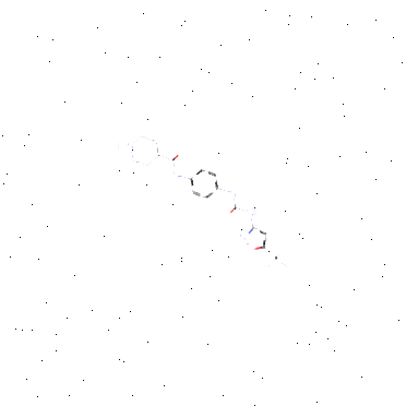 CC(C)(C)c1cc(NC(=O)Nc2ccc(NC(=O)C3CCNCC3)cc2)no1